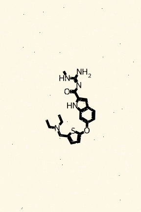 CCN(CC)Cc1ccc(Oc2ccc3cc(C(=O)N=C(N)NC)[nH]c3c2)s1